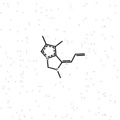 C=C/C=C1\c2c(C)c(C)cn2CP1C